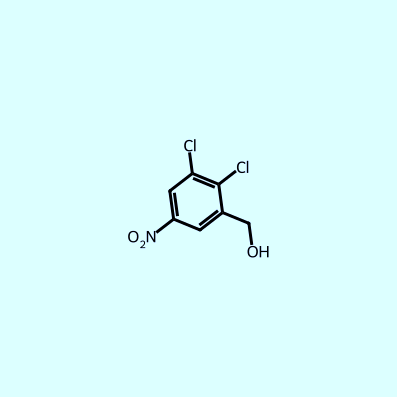 O=[N+]([O-])c1cc(Cl)c(Cl)c(CO)c1